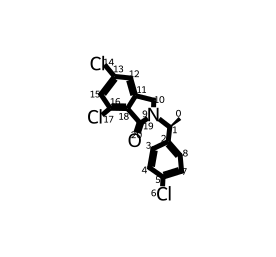 C[C@@H](c1ccc(Cl)cc1)N1Cc2cc(Cl)cc(Cl)c2C1=O